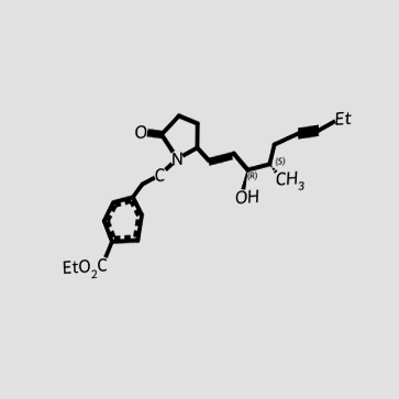 CCC#CC[C@H](C)[C@@H](O)C=CC1CCC(=O)N1CCc1ccc(C(=O)OCC)cc1